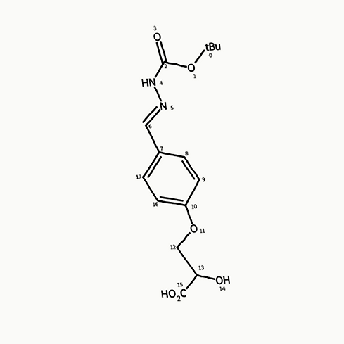 CC(C)(C)OC(=O)NN=Cc1ccc(OCC(O)C(=O)O)cc1